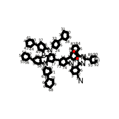 N#Cc1ccc(-n2c3ccccc3c3cc(-c4cc5c6c(c4)N(c4ccc(-c7ccccc7)cc4)c4ccc(-c7ccccc7)cc4B6c4cc(-c6ccccc6)ccc4N5c4ccc(-c5ccccc5)cc4)ccc32)c(-c2nc(-c3ccccc3)nc(-c3ccccc3)n2)c1